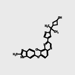 Cc1nc2ccc(Oc3ccc4ncc(-c5cnn(C(C)(C)C6CC(O)C6)c5)nc4c3Cl)cc2[nH]1